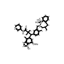 CCn1nnc2c(C)c(C(c3ccc(C)c(CN4CC(C)Cc5ccccc5S4(O)O)c3)C(C)(C)C(=O)Nc3cccnc3)cc(OC)c21